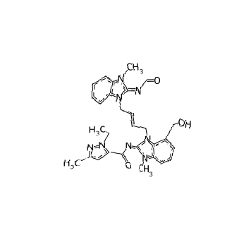 CCn1nc(C)cc1C(=O)/N=c1\n(C)c2cccc(CO)c2n1C/C=C/Cn1/c(=N/C=O)n(C)c2ccccc21